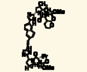 COC(=O)N[C@H](C(=O)N1[C@@H]2C[C@@H]2C[C@H]1c1ncc(C#Cc2ccc3cc(-c4cnc([C@@H]5C[C@@H](C)[C@@H](C)N5C(=O)[C@@H](NC(=O)OC)[C@@H]5CCCOC5)[nH]4)ccc3c2)[nH]1)C(C)C